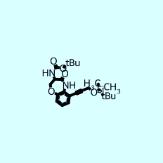 CC(C)(C)OC(=O)NC1COc2cccc(C#CCO[Si](C)(C)C(C)(C)C)c2NC1=O